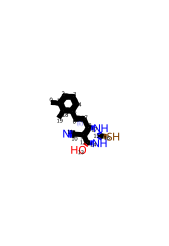 Cc1cccc(/C=C/C2=C(C#N)C(O)NC(S)N2)c1C